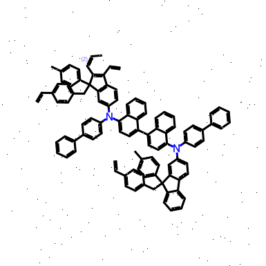 C=CC1=C(/C=C\C)C(Cc2ccc(C=C)cc2)(c2ccc(C)cc2)c2cc(N(c3ccc(-c4ccccc4)cc3)c3ccc(-c4ccc(N(c5ccc(-c6ccccc6)cc5)c5ccc6c(c5)C(Cc5ccc(C=C)cc5)(c5ccc(C)cc5)c5ccccc5-6)c5ccccc45)c4ccccc34)ccc21